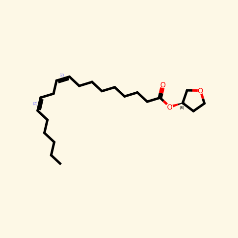 CCCCC/C=C\C/C=C\CCCCCCCC(=O)O[C@@H]1CCOC1